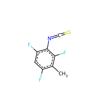 Cc1c(F)cc(F)c(N=C=S)c1F